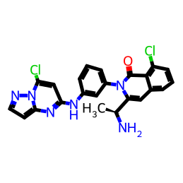 C[C@H](N)c1cc2cccc(Cl)c2c(=O)n1-c1cccc(Nc2cc(Cl)n3nccc3n2)c1